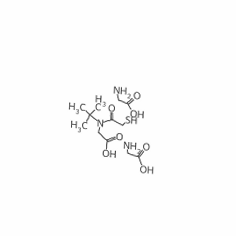 CC(C)(C)N(CC(=O)O)C(=O)CS.NCC(=O)O.NCC(=O)O